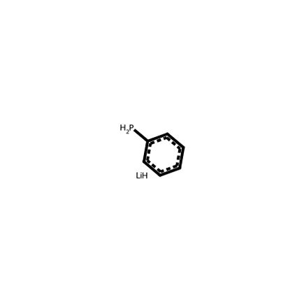 Pc1ccccc1.[LiH]